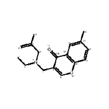 C=C(C)CN(CC)Cc1coc2ccc(C)cc2c1=O